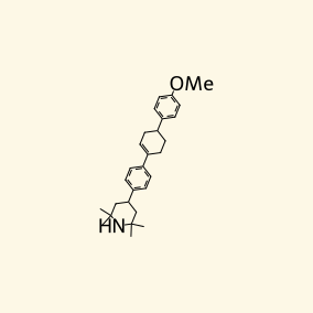 COc1ccc(C2CC=C(c3ccc(C4CC(C)(C)NC(C)(C)C4)cc3)CC2)cc1